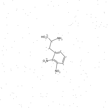 NC(Cc1cccc([N+](=O)[O-])c1[N+](=O)[O-])C(=O)O